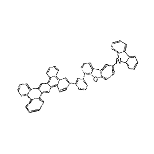 c1cc(-c2ccc3c(c2)c2ccccc2c2cc4c5ccccc5c5ccccc5c4cc32)cc(-c2cccc3c2oc2ccc(-n4c5ccccc5c5ccccc54)cc23)c1